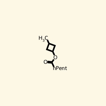 CCCCCC(=O)OC1CC(C)C1